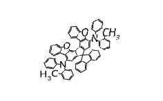 Cc1ccccc1N(c1ccccc1)c1cc2c(c3c1oc1ccccc13)-c1c(cc(N(c3ccccc3)c3ccccc3C)c3c1oc1ccccc13)C21C2=C(C=CCC2)c2ccccc21